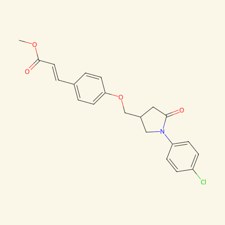 COC(=O)/C=C/c1ccc(OCC2CC(=O)N(c3ccc(Cl)cc3)C2)cc1